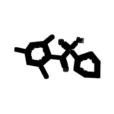 CC(=O)P(=O)(C(=O)c1c(C)cc(C)cc1C)c1ccccc1